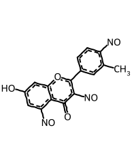 Cc1cc(-c2oc3cc(O)cc(N=O)c3c(=O)c2N=O)ccc1N=O